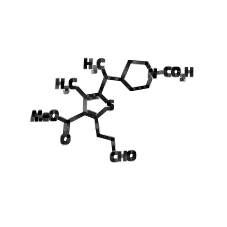 COC(=O)c1c(CCC=O)sc(C(C)C2CCN(C(=O)O)CC2)c1C